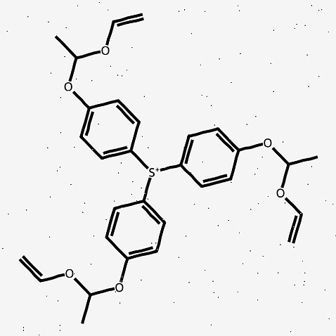 C=COC(C)Oc1ccc([S+](c2ccc(OC(C)OC=C)cc2)c2ccc(OC(C)OC=C)cc2)cc1